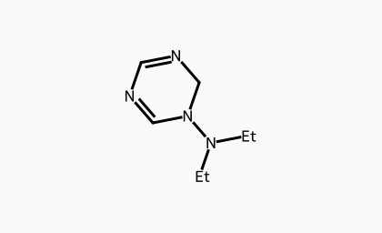 CCN(CC)N1C=NC=NC1